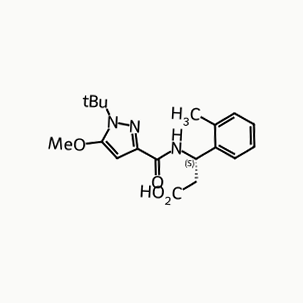 COc1cc(C(=O)N[C@@H](CC(=O)O)c2ccccc2C)nn1C(C)(C)C